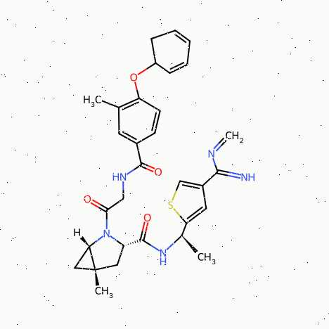 C=NC(=N)c1csc([C@@H](C)NC(=O)[C@@H]2C[C@]3(C)C[C@@H]3N2C(=O)CNC(=O)c2ccc(OC3C=CC=CC3)c(C)c2)c1